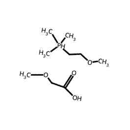 COCC(=O)O.COCC[PH](C)(C)C